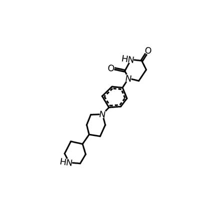 O=C1CCN(c2ccc(N3CCC(C4CCNCC4)CC3)cc2)C(=O)N1